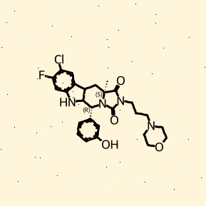 C[C@@]12CC3c4cc(Cl)c(F)cc4NC3[C@@H](c3cccc(O)c3)N1C(=O)N(CCCN1CCOCC1)C2=O